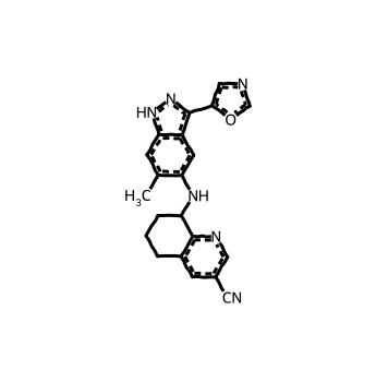 Cc1cc2[nH]nc(-c3cnco3)c2cc1NC1CCCc2cc(C#N)cnc21